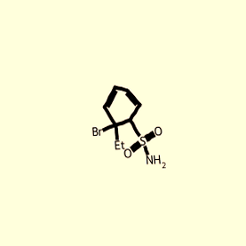 CCC1(Br)C=CC=CC1S(N)(=O)=O